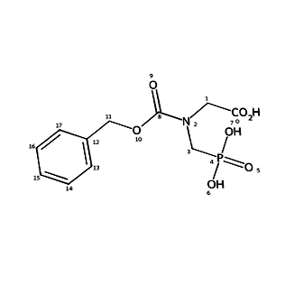 O=C(O)CN(CP(=O)(O)O)C(=O)OCc1ccccc1